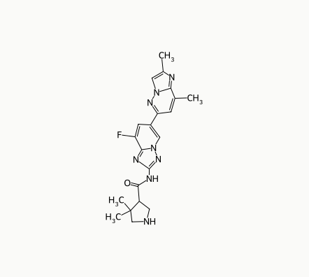 Cc1cn2nc(-c3cc(F)c4nc(NC(=O)C5CNCC5(C)C)nn4c3)cc(C)c2n1